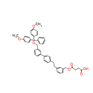 COc1ccc(C(OCc2cccc(-c3ccc(CCc4cccc(COC(=O)CCC(=O)O)c4)cc3)c2)(c2ccccc2)c2ccc(OC)cc2)cc1